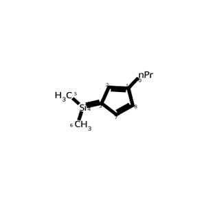 CCCC1=CC(=[Si](C)C)[C]=C1